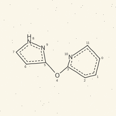 c1ccc(Oc2cc[nH]n2)nc1